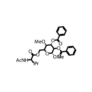 CO[C@@H]1OC(COC(=O)C(NC(C)=O)C(C)C)[C@@H](OC)[C@H](OC(=O)c2ccccc2)C1OC(=O)c1ccccc1